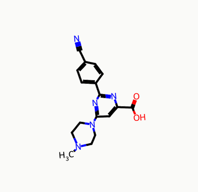 CN1CCN(c2cc(C(=O)O)nc(-c3ccc(C#N)cc3)n2)CC1